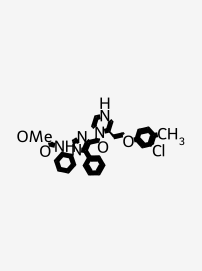 COC(=O)N[C@H]1CCCC[C@@H]1n1cnc(C(=O)N2CCNC[C@H]2CCOc2ccc(C)c(Cl)c2)c1-c1ccccc1